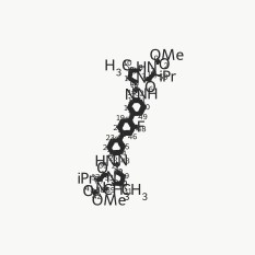 COC(=O)N[C@H](C(=O)N1C[C@@H](C)C[C@H]1c1nc2cc(-c3ccc(-c4ccc5[nH]c([C@@H]6C[C@H](C)CN6C(=O)[C@H](C(C)C)N(C)C(=O)OC)nc5c4)cc3F)ccc2[nH]1)C(C)C